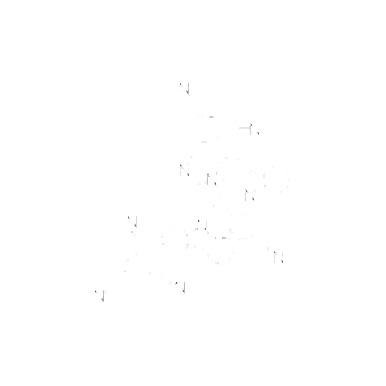 N#Cc1cc(C#N)c(-c2ccc3c(c2)c2ccccc2n3-c2ccncc2-c2ccc(C#N)cc2-n2c3ccccc3c3cc(-c4c(C#N)cc(C#N)cc4C#N)ccc32)c(C#N)c1